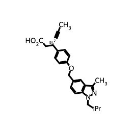 CC#C[C@@H](CC(=O)O)c1ccc(OCc2ccc3c(c2)c(C)nn3CC(C)C)cc1